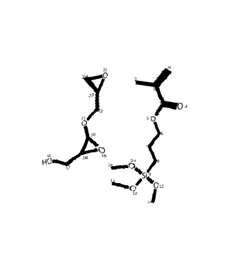 C=C(C)C(=O)OCCC[Si](OC)(OC)OC.OCC1OC1OCC1CO1